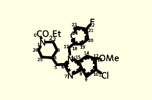 CCOC(=O)N1CCC(Cc2nc3cc(Cl)c(OC)cc3n2Cc2ccc(F)cc2)CC1